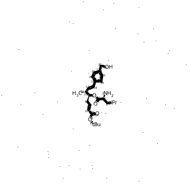 CC(C)C[C@H](N)C(=O)O[C@@H](C/C=C/C(=O)OC(C)(C)C)[C@H](C)/C=C/c1ccc(CO)cc1